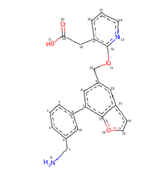 NCc1cccc(-c2cc(COc3ncccc3CC(=O)O)cc3ccoc23)c1